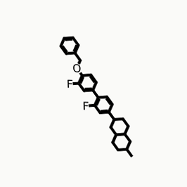 CC1CCC2CC(c3ccc(-c4ccc(OCc5ccccc5)c(F)c4)c(F)c3)CCC2C1